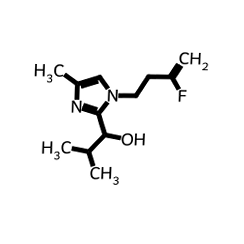 C=C(F)CCn1cc(C)nc1C(O)C(C)C